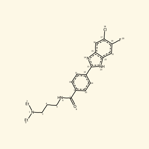 CCN(CC)CCCNC(=O)c1ccc(-c2nc3cc(Cl)c(F)cc3[nH]2)cc1